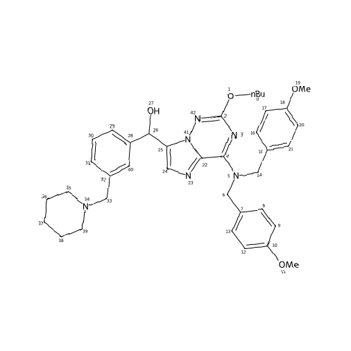 CCCCOc1nc(N(Cc2ccc(OC)cc2)Cc2ccc(OC)cc2)c2ncc(C(O)c3cccc(CN4CCCCC4)c3)n2n1